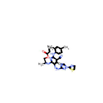 C=CC(=O)OCC(C)Nc1nc(Nc2ccc(C)cc2C)c(C#N)c(C)c1/N=N\c1ncn(-c2nccs2)n1